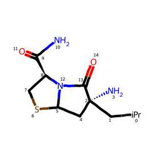 CC(C)C[C@@]1(N)CC2SC[C@@H](C(N)=O)N2C1=O